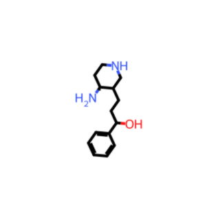 N[C]1CCNCC1CCC(O)c1ccccc1